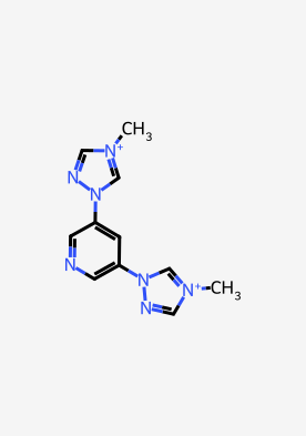 C[n+]1cnn(-c2cncc(-n3c[n+](C)cn3)c2)c1